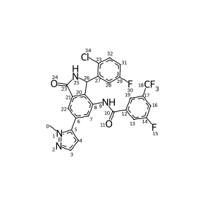 Cn1nccc1-c1cc(NC(=O)c2cc(F)cc(C(F)(F)F)c2)c2c(c1)C(=O)NC2c1cc(F)ccc1Cl